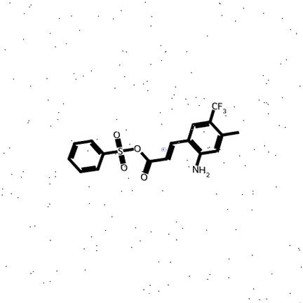 Cc1cc(N)c(/C=C/C(=O)OS(=O)(=O)c2ccccc2)cc1C(F)(F)F